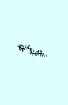 OCC(F)(F)C(F)(F)C(F)(F)OC(F)C(F)(F)NCCNC(F)(F)C(F)OC(F)(F)C(F)(F)C(F)(F)CO